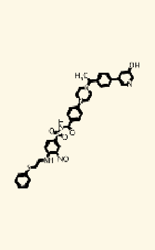 CC(c1ccc(-c2cncc(O)c2)cc1)N1CCN(c2ccc(C(=O)NS(=O)(=O)c3ccc(NCCSc4ccccc4)c(N=O)c3)cc2)CC1